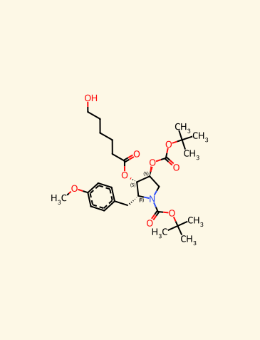 COc1ccc(C[C@@H]2[C@H](OC(=O)CCCCCO)[C@@H](OC(=O)OC(C)(C)C)CN2C(=O)OC(C)(C)C)cc1